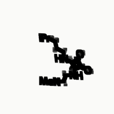 CNCCNc1c(NCCCC(C)C)c(=O)c1=O